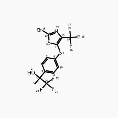 CC(O)(c1ccc(Sc2sc(Br)nc2C(F)(F)F)cc1)C(F)(F)F